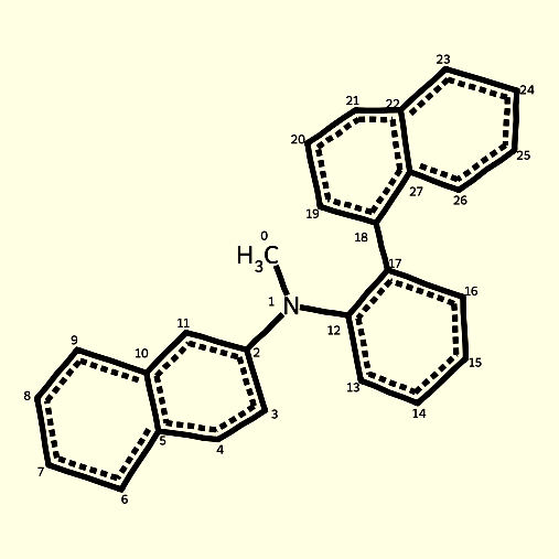 CN(c1ccc2ccccc2c1)c1ccccc1-c1cccc2ccccc12